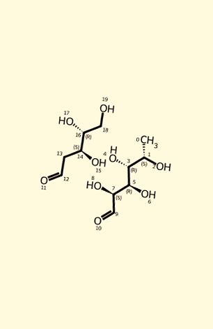 C[C@H](O)[C@@H](O)[C@@H](O)[C@H](O)C=O.O=CC[C@H](O)[C@H](O)CO